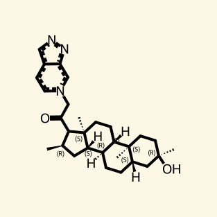 C[C@@H]1C[C@H]2[C@@H]3CC[C@H]4C[C@](C)(O)CC[C@]4(C)[C@H]3CC[C@]2(C)C1C(=O)Cn1ccc2cnnc-2c1